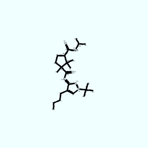 CCCCc1cn(C(C)(C)C)s/c1=N\C(=O)C1(C)CCC(C(=O)NC(C)C)C1(C)C